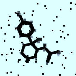 CCC(=O)NC1CNCCC1(O)c1ccc(Cl)cc1